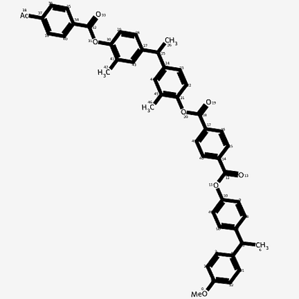 COc1ccc(C(C)c2ccc(OC(=O)c3ccc(C(=O)Oc4ccc(C(C)c5ccc(OC(=O)c6ccc(C(C)=O)cc6)c(C)c5)cc4C)cc3)cc2)cc1